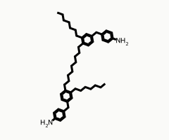 CCCCCCCc1cc(Cc2ccc(N)cc2)ccc1CCCCCCCCCc1ccc(Cc2ccc(N)cc2)cc1CCCCCCC